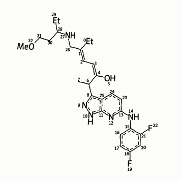 CC/C(=C\C=C(\O)C(C)c1n[nH]c2nc(Nc3ccc(F)cc3F)ccc12)CNC(CC)CCOC